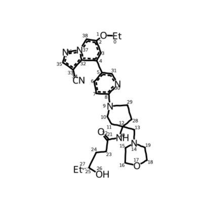 CCOc1cc(-c2ccc(N3CCC(CN4CCOCC4)(NC(=O)CC[C@H](O)CC)CC3)nc2)c2c(C#N)cnn2c1